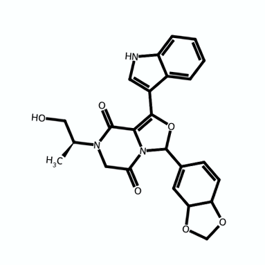 C[C@@H](CO)N1CC(=O)N2C(=C(c3c[nH]c4ccccc34)OC2C2=CC3OCOC3C=C2)C1=O